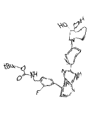 CC(C)(C)OC(=O)NCc1ccc(-c2ccnc3[nH]c(-c4ccc(N5CC[C@H](O)[C@@H](O)C5)cn4)nc23)cc1F